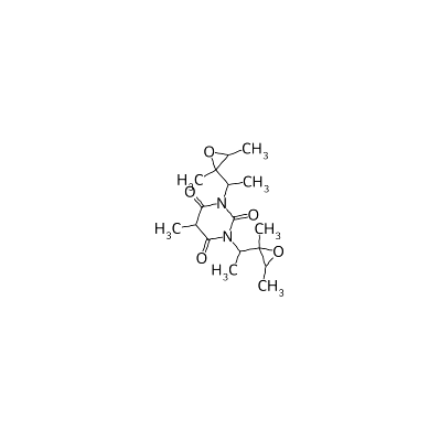 CC1C(=O)N(C(C)C2(C)OC2C)C(=O)N(C(C)C2(C)OC2C)C1=O